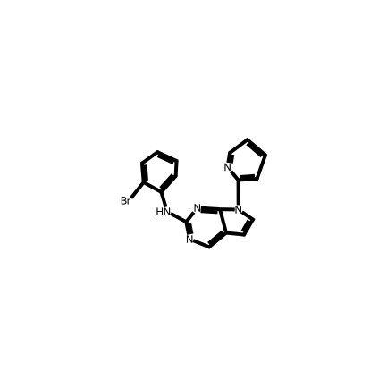 Brc1ccccc1Nc1ncc2ccn(-c3ccccn3)c2n1